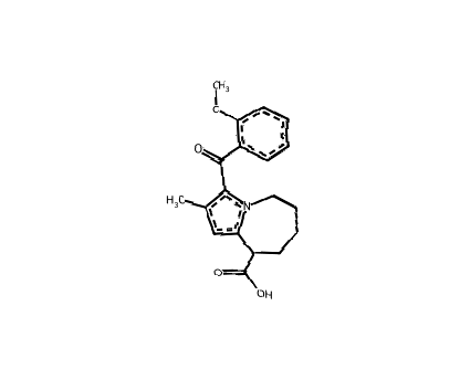 COc1ccccc1C(=O)c1c(C)cc2n1CCCCC2C(=O)O